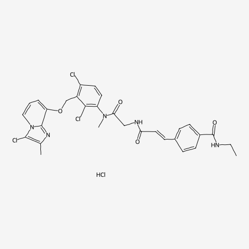 CCNC(=O)c1ccc(C=CC(=O)NCC(=O)N(C)c2ccc(Cl)c(COc3cccn4c(Cl)c(C)nc34)c2Cl)cc1.Cl